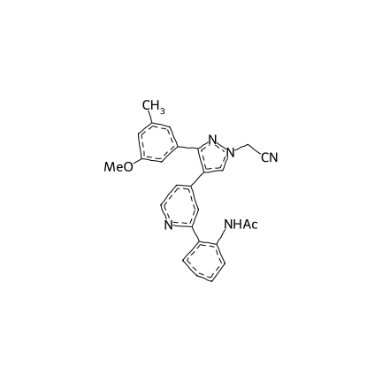 COc1cc(C)cc(-c2nn(CC#N)cc2-c2ccnc(-c3ccccc3NC(C)=O)c2)c1